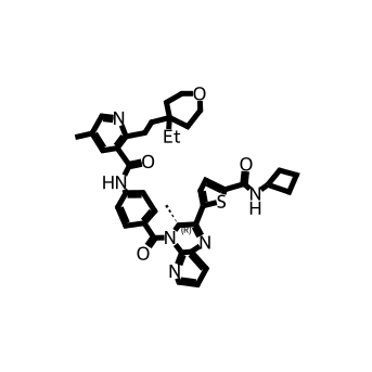 CCC1(CCc2ncc(C)cc2C(=O)Nc2ccc(C(=O)N3c4ncccc4N=C(c4ccc(C(=O)NC5CCC5)s4)[C@H]3C)cc2)CCOCC1